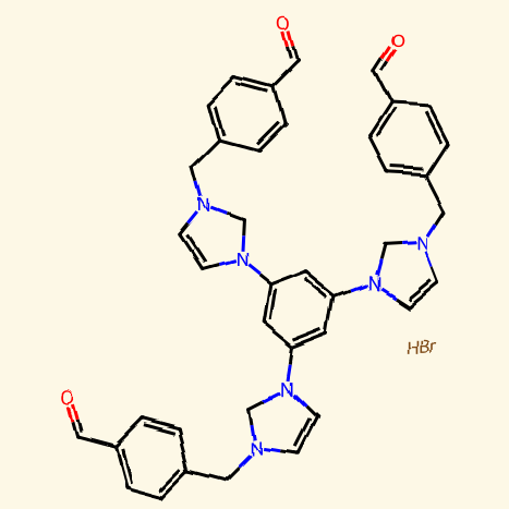 Br.O=Cc1ccc(CN2C=CN(c3cc(N4C=CN(Cc5ccc(C=O)cc5)C4)cc(N4C=CN(Cc5ccc(C=O)cc5)C4)c3)C2)cc1